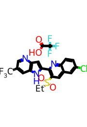 CCS(=O)(=O)c1cc2cc(Cl)ccc2nc1-c1cc2ncc(C(F)(F)F)cc2[nH]1.O=C(O)C(F)(F)F